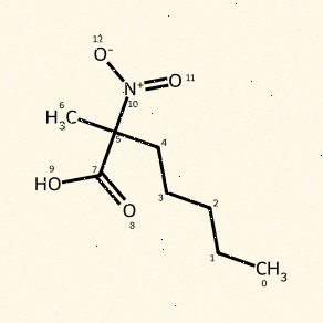 CCCCCC(C)(C(=O)O)[N+](=O)[O-]